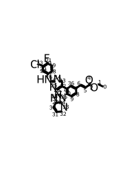 CCOC(=O)/C=C/c1cccc(-c2cnc(Nc3ccc(F)c(Cl)c3)nc2-n2nc3cccnc3n2)c1